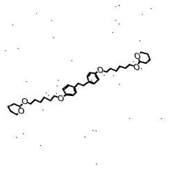 c1cc(OCCCCCCOC2CCCCO2)ccc1CCc1ccc(OCCCCCCOC2CCCCO2)cc1